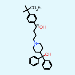 CCOC(=O)C(C)(C)c1ccc([C@@H](O)CCCN2CCC(C(O)(c3ccccc3)c3ccccc3)CC2)cc1